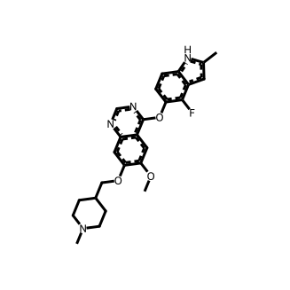 COc1cc2c(Oc3ccc4[nH]c(C)cc4c3F)ncnc2cc1OCC1CCN(C)CC1